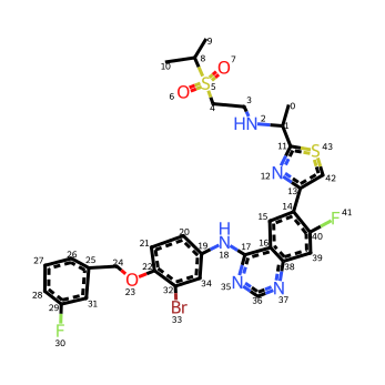 CC(NCCS(=O)(=O)C(C)C)c1nc(-c2cc3c(Nc4ccc(OCc5cccc(F)c5)c(Br)c4)ncnc3cc2F)cs1